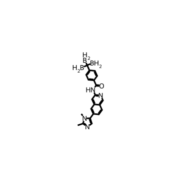 BC(B)(B)c1ccc(C(=O)Nc2cc3cc(-c4cnc(C)n4C)ccc3cn2)cc1